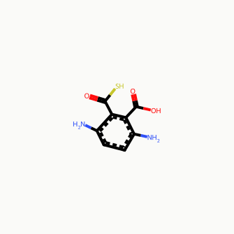 Nc1ccc(N)c(C(=O)S)c1C(=O)O